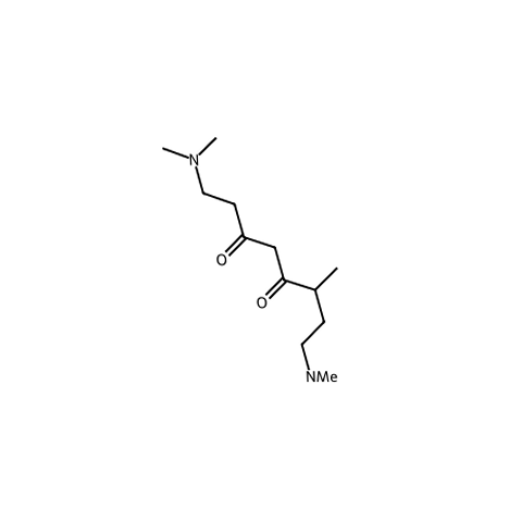 CNCCC(C)C(=O)CC(=O)CCN(C)C